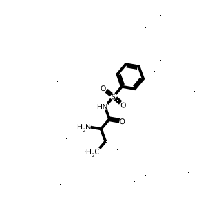 [CH2]CC(N)C(=O)NS(=O)(=O)c1ccccc1